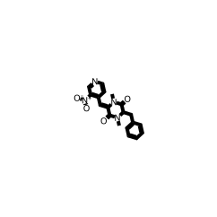 CN1C(=O)C(Cc2ccccc2)N(C)C(=O)C1=Cc1ccncc1[N+](=O)[O-]